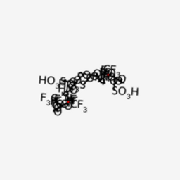 C=CC(=O)OCC(COC(=O)CCN(CC(F)(F)C(F)(F)C(F)(F)F)C1CC(C)(C)CC(C)(CNC(=O)OCC(COCC2CCCC(COCC(COC(=O)NCC3(C)CC(N(CCC(=O)OCC(COC(=O)C=C)OC(=O)C(F)(F)C(F)(F)C(F)(F)F)CC(F)(F)C(F)(F)C(F)(F)F)CC(C)(C)C3)OCCCCS(=O)(=O)O)C2)OCCCCS(=O)(=O)O)C1)OCCCCS(=O)(=O)O